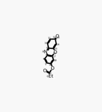 CCC(=O)Oc1ccc2nc3ccc(=O)cc-3oc2c1